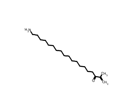 C=C(C)C(=O)CCCCCCCCCCCCCCCCN